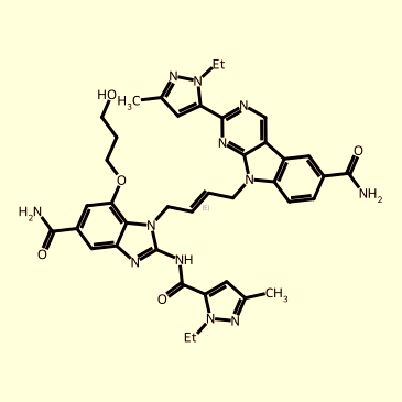 CCn1nc(C)cc1C(=O)Nc1nc2cc(C(N)=O)cc(OCCCO)c2n1C/C=C/Cn1c2ccc(C(N)=O)cc2c2cnc(-c3cc(C)nn3CC)nc21